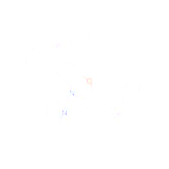 C(=C(\c1ccccc1)c1ccc2c(c1)Oc1cc(/C(=C\c3ccccc3)c3ccccc3)ccc1N2c1ccccn1)/c1ccccc1